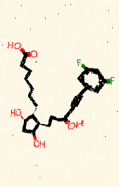 O=C(O)CCCCCC[C@H]1[C@@H](O)CC(O)[C@@H]1CCC(O)C#Cc1cc(F)cc(F)c1